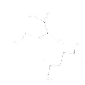 C=C(OCC)C(=O)O.O=C(O)CCC(=O)O